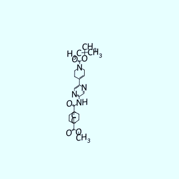 COC(=O)C12CCC(C(=O)Nc3cnc(C4=CCN(C(=O)OC(C)(C)C)CC4)cn3)(CC1)CC2